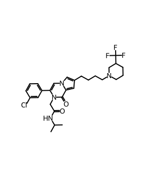 CC(C)NC(=O)Cn1c(-c2cccc(Cl)c2)cn2cc(CCCCN3CCCC(C(F)(F)F)C3)cc2c1=O